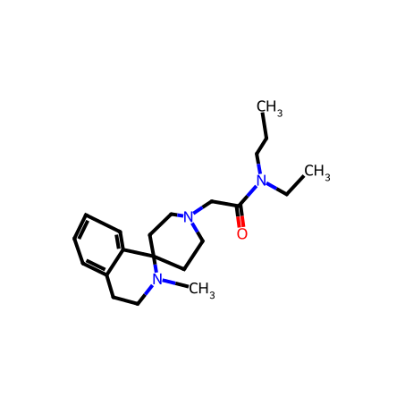 CCCN(CC)C(=O)CN1CCC2(CC1)c1ccccc1CCN2C